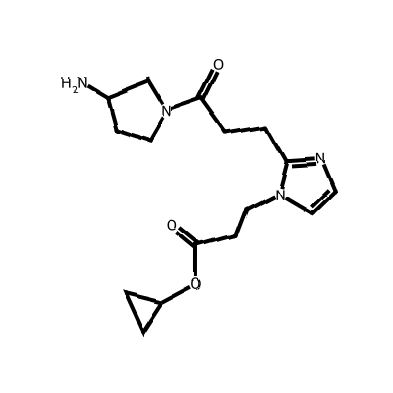 NC1CCN(C(=O)CCc2nccn2CCC(=O)OC2CC2)C1